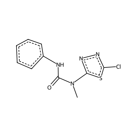 CN(C(=O)Nc1ccccc1)c1nnc(Cl)s1